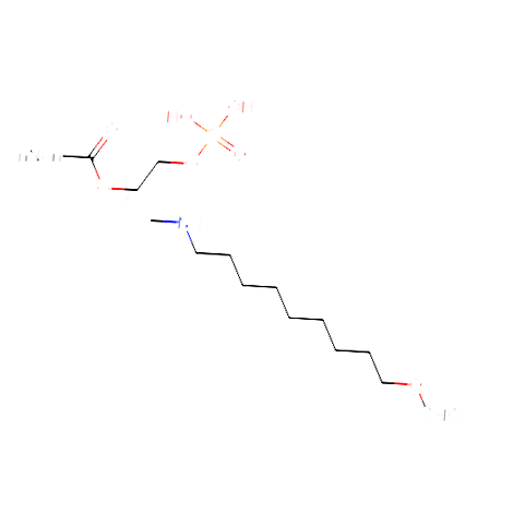 CCCCCCCCCC(=O)O[C@@H](CNCCCCCCCCCOC=O)COP(=O)(O)O